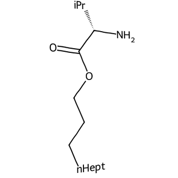 CCCCCCCCCCOC(=O)[C@@H](N)C(C)C